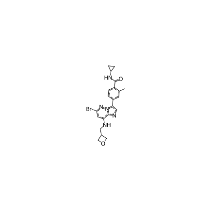 Cc1cc(-c2cnc3c(NCC4COC4)cc(Br)nn23)ccc1C(=O)NC1CC1